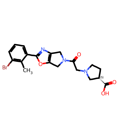 Cc1c(Br)cccc1-c1nc2c(o1)CN(C(=O)CN1CC[C@H](C(=O)O)C1)C2